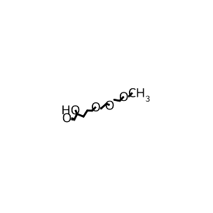 CCOCCOCCOCCCC(O)C=O